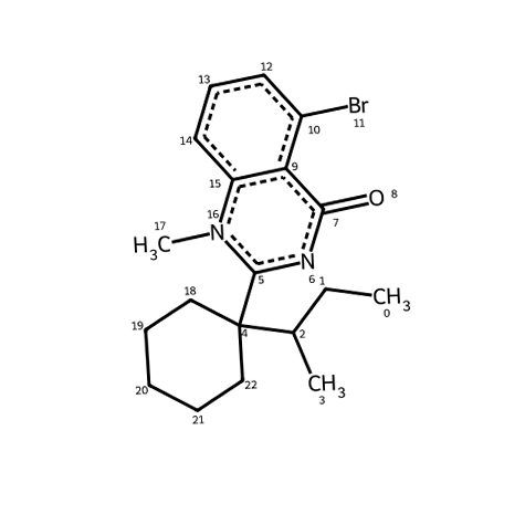 CCC(C)C1(c2nc(=O)c3c(Br)cccc3n2C)CCCCC1